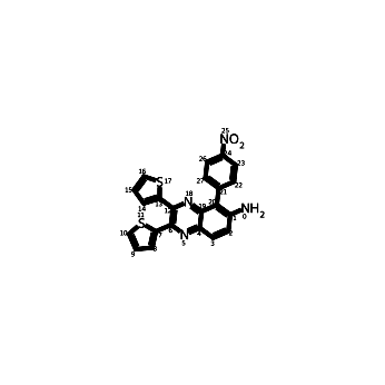 Nc1ccc2nc(-c3cccs3)c(-c3cccs3)nc2c1-c1ccc([N+](=O)[O-])cc1